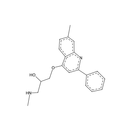 CNCC(O)COc1cc(-c2ccccc2)nc2cc(C)ccc12